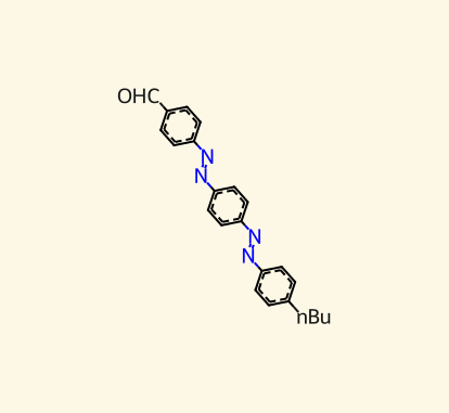 CCCCc1ccc(N=Nc2ccc(N=Nc3ccc(C=O)cc3)cc2)cc1